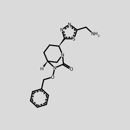 NCc1nnc([C@@H]2CC[C@@H]3CN2C(=O)N3OCc2ccccc2)s1